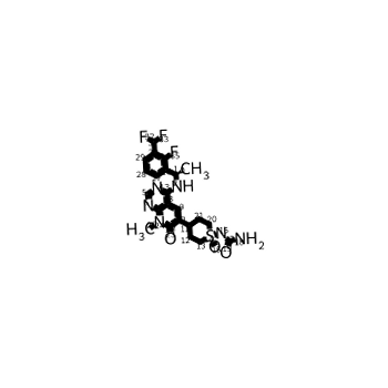 C[C@@H](Nc1ncnc2c1cc(C1CCS(=O)(=NC(N)=O)CC1)c(=O)n2C)c1cccc(C(F)F)c1F